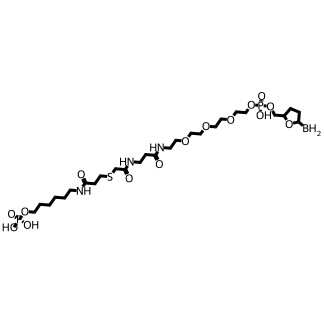 BC1CCC(COP(=O)(O)OCCOCCOCCOCCNC(=O)CCNC(=O)CSCCC(=O)NCCCCCCOP(=O)(O)O)O1